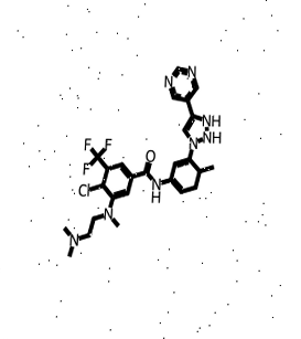 CC1CC=C(NC(=O)C2=CC(C(F)(F)F)C(Cl)C(N(C)CCN(C)C)=C2)C=C1N1C=C(c2cncnc2)NN1